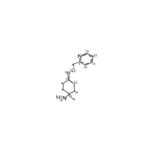 CC1(N)CCC(=NOCc2ccccn2)CC1